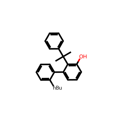 CCCCc1ccccc1-c1cccc(O)c1C(C)(C)c1ccccc1